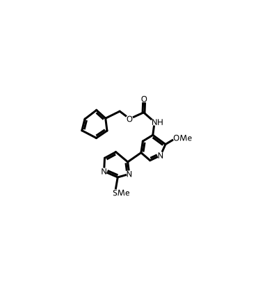 COc1ncc(-c2ccnc(SC)n2)cc1NC(=O)OCc1ccccc1